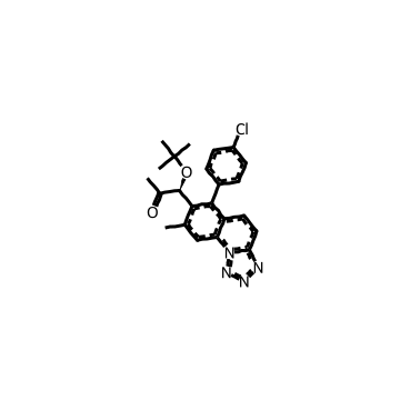 CC(=O)[C@@H](OC(C)(C)C)c1c(C)cc2c(ccc3nnnn32)c1-c1ccc(Cl)cc1